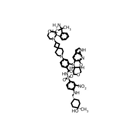 CC(C)(N)c1ccccc1[C@@H]1COCCN1C1CC2(CCN(c3ccc(C(=O)NS(=O)(=O)c4ccc(NC[C@H]5CC[C@](C)(O)CC5)c([N+](=O)[O-])c4)c(N4c5cc6cc[nH]c6nc5O[C@H]5COCC[C@@H]54)c3)CC2)C1